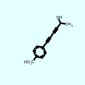 CC(O)C#CC#Cc1ccc(C(=O)O)cc1